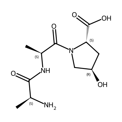 C[C@H](N)C(=O)N[C@@H](C)C(=O)N1C[C@H](O)C[C@H]1C(=O)O